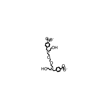 O=[N+]([O-])c1ccc(CN(CCO)CCOCCOCCN(CCO)Cc2ccc([N+](=O)[O-])cc2)cc1